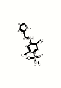 CC(=O)c1cc(S(N)(=O)=O)c(Cl)cc1NCc1ccco1